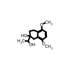 COc1ccc(OC)c2c1CCC(O)(C(C)O)C2